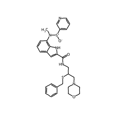 CN(c1cccc2cc(C(=O)NCC(CN3CCOCC3)SCc3ccccc3)[nH]c12)[S+]([O-])c1cccnc1